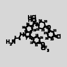 Cl.Cl.NCCCn1cc(-c2ccc(OC(F)(F)F)cc2)c2cc(CN3CCC(Oc4cccc(Cl)c4)CC3)ccc21